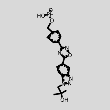 CC(C)(O)Cn1nnc2cc(-c3nc(-c4ccc(CO[PH](=O)O)cc4)no3)ccc21